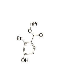 CCCOC(=O)c1ccc(O)cc1CC